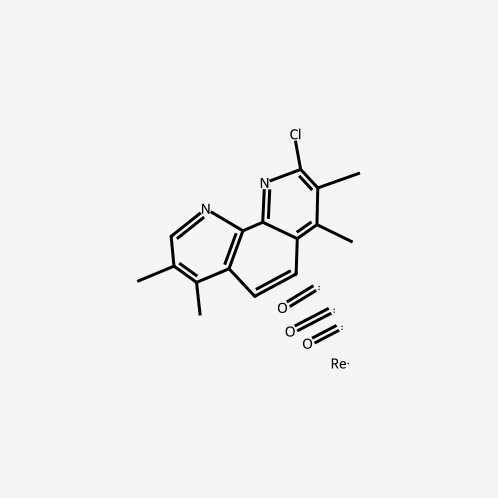 Cc1cnc2c(ccc3c(C)c(C)c(Cl)nc32)c1C.[C]=O.[C]=O.[C]=O.[Re]